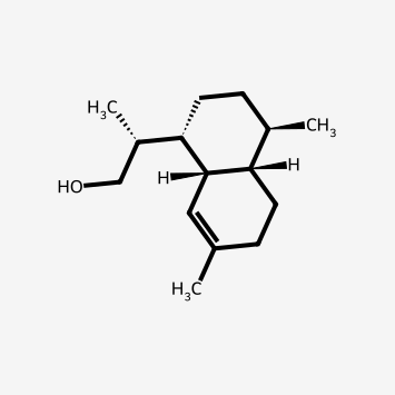 CC1=C[C@H]2[C@@H](CC1)[C@H](C)CC[C@H]2[C@@H](C)CO